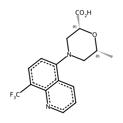 C[C@@H]1CN(c2ccc(C(F)(F)F)c3ncccc23)C[C@H](C(=O)O)O1